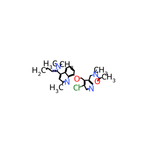 C=C/C=C(/c1cc(C)nc2c(OCc3c(Cl)cncc3CN(C)C(C)=O)cccc12)N(C)C